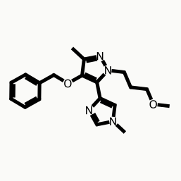 COCCCn1nc(C)c(OCc2ccccc2)c1-c1cn(C)cn1